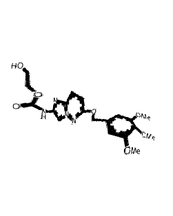 COc1cc(COc2ccc3nc(NC(=O)OCCO)cn3n2)cc(OC)c1OC